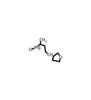 C1CCOC1.CCC[CH](C)[Mg][Cl]